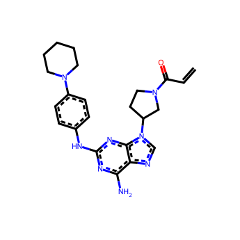 C=CC(=O)N1CCC(n2cnc3c(N)nc(Nc4ccc(N5CCCCC5)cc4)nc32)C1